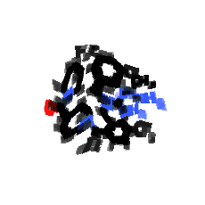 CCC(c1ccc(C(F)(F)F)cc1CN(Cc1cc(C(F)(F)F)cc(C(F)(F)F)c1)/C(N)=N/N(C)N)N1CCC(C(=O)N2CCCCC2)CC1